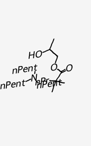 CCCC(C)(C)C(=O)OCC(C)O.CCCCCN(CCCCC)CCCCC